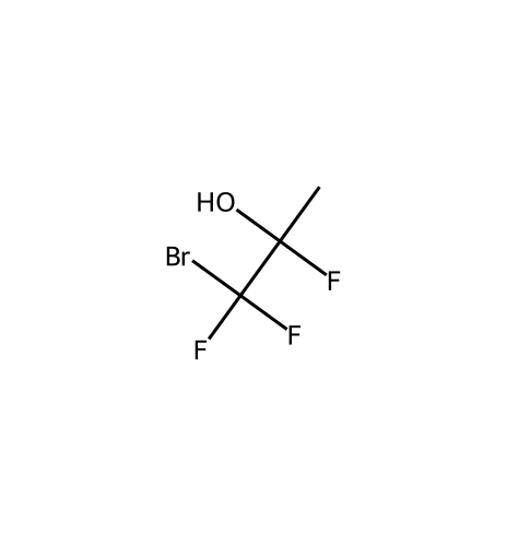 CC(O)(F)C(F)(F)Br